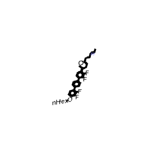 C/C=C/CCC1CCC(c2ccc(-c3ccc(-c4ccc(OCCCCCC)c(F)c4F)cc3)c(F)c2F)CO1